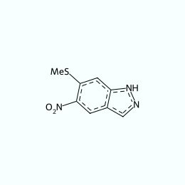 CSc1cc2[nH]ncc2cc1[N+](=O)[O-]